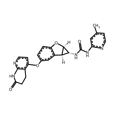 Cc1ccnc(NC(=O)N[C@H]2[C@@H]3Oc4ccc(Oc5ccnc6c5CCC(=O)N6)cc4[C@H]23)c1